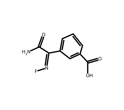 NC(=O)C(=NF)c1cccc(C(=O)O)c1